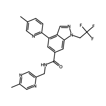 Cc1ccc(-c2cc(C(=O)NCc3cnc(C)cn3)cc3c2cnn3CC(F)(F)F)nc1